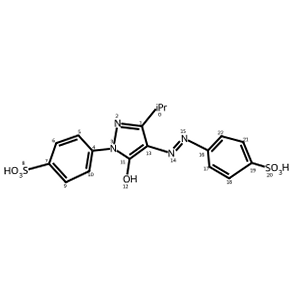 CC(C)c1nn(-c2ccc(S(=O)(=O)O)cc2)c(O)c1/N=N/c1ccc(S(=O)(=O)O)cc1